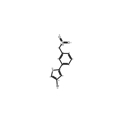 O=[SH](=O)Cc1cccc(-c2cc(Br)cs2)c1